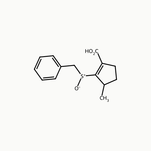 CC1CCC(C(=O)O)=C1[S+]([O-])Cc1ccccc1